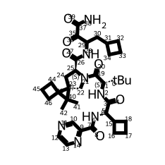 CC(C)(C)[C@H](NC(=O)[C@@H](NC(=O)c1cnccn1)C1CCC1)C(=O)N1C[C@]2(C[C@H]1C(=O)NC(CC1CCC1)C(=O)C(N)=O)C(C)(C)C21CCC1